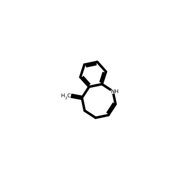 C=C1CC/C=C\Nc2ccccc21